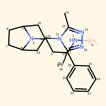 BNC(CCN1C2CCC1CC(n1c(C)nnc1C(C)C)C2)c1ccccc1